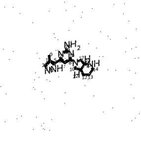 Cc1cn[nH]c1-c1cc(N2C[C@H]3CCCN[C@H]3C2)nc(N)n1